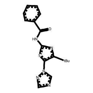 CC(C)(C)c1nc(NC(=O)c2ccccc2)sc1-n1cncn1